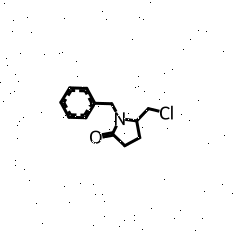 O=C1CCC(CCl)N1Cc1ccccc1